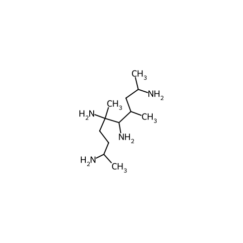 CC(N)CCC(C)(N)C(N)C(C)CC(C)N